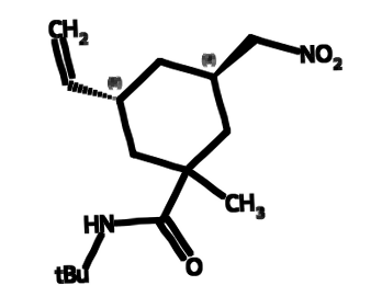 C=C[C@@H]1C[C@@H](C[N+](=O)[O-])CC(C)(C(=O)NC(C)(C)C)C1